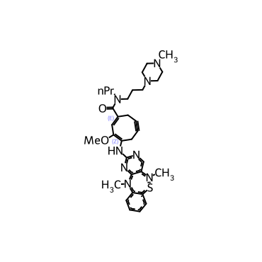 CCCN(CCCN1CCN(C)CC1)C(=O)/C1=C/C(OC)=C(/Nc2ncc3c(n2)n(C)c2ccccc2sn3C)CC#CC1